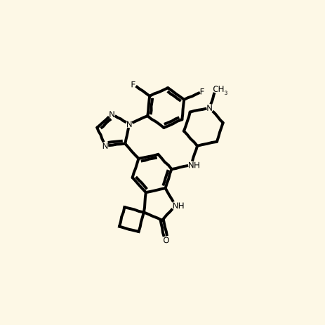 CN1CCC(Nc2cc(-c3ncnn3-c3ccc(F)cc3F)cc3c2NC(=O)C32CCC2)CC1